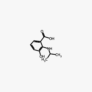 CC(C)Nc1c(O)cccc1C(=O)O